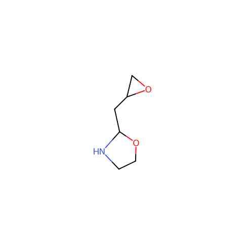 C1COC(CC2CO2)N1